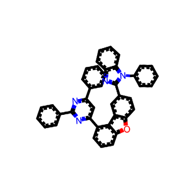 c1ccc(-c2cc(-c3cccc4oc5ccc(-c6nc7ccccc7n6-c6ccccc6)cc5c34)nc(-c3ccccc3)n2)cc1